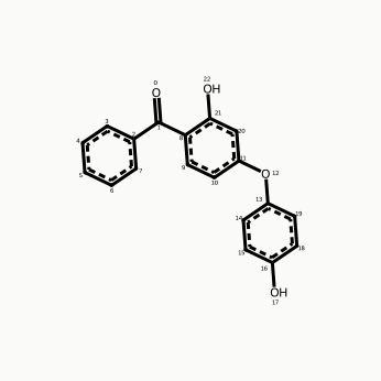 O=C(c1ccccc1)c1ccc(Oc2ccc(O)cc2)cc1O